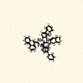 c1ccc(-c2ccc(-c3nc(-c4ccc5c(oc6ccccc65)c4-n4c5ccccc5c5cc6ccccc6cc54)nc(-c4cc5ccccc5c5ccccc45)n3)cc2)cc1